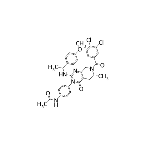 COc1ccc(C(C)Nc2nc3c(c(=O)n2-c2ccc(NC(C)=O)cc2)C[C@@H](C)N(C(=O)c2ccc(Cl)c(Cl)c2)C3)cc1